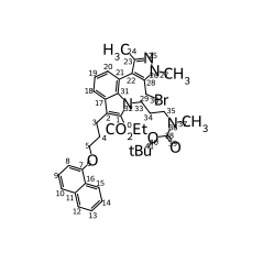 CCOC(=O)c1c(CCCOc2cccc3ccccc23)c2cccc(-c3c(C)nn(C)c3CBr)c2n1CCCN(C)C(=O)OC(C)(C)C